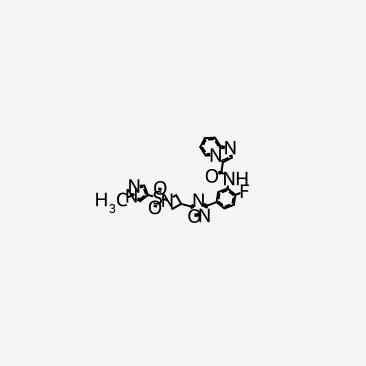 Cn1cc(S(=O)(=O)N2CC(c3nc(-c4ccc(F)c(NC(=O)c5cnc6ccccn56)c4)no3)C2)cn1